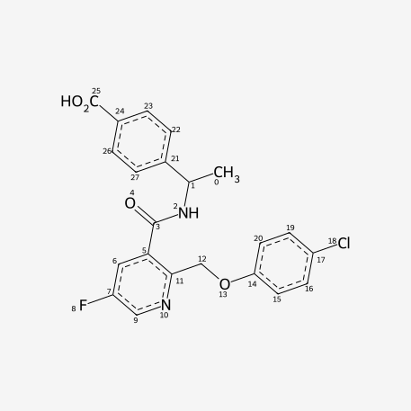 CC(NC(=O)c1cc(F)cnc1COc1ccc(Cl)cc1)c1ccc(C(=O)O)cc1